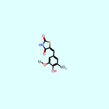 CCOc1cc(/C=C2/SC(=O)NC2=O)cc([N+](=O)[O-])c1O